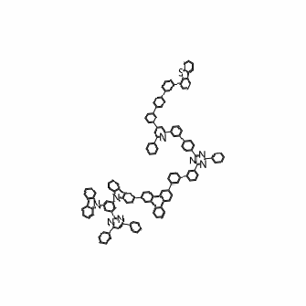 c1ccc(-c2cc(-c3cccc(-c4ccc(-c5cccc(-c6cccc7c6sc6ccccc67)c5)cc4)c3)cc(-c3cccc(-c4ccc(-c5nc(-c6ccccc6)nc(-c6cccc(-c7cccc(-c8ccc9c%10ccccc%10c%10cc(-c%11ccc%12c(c%11)c%11ccccc%11n%12-c%11cc(-c%12nc(-c%13ccccc%13)cc(-c%13ccccc%13)n%12)cc(-n%12c%13ccccc%13c%13ccccc%13%12)c%11)ccc%10c9c8)c7)c6)n5)cc4)c3)n2)cc1